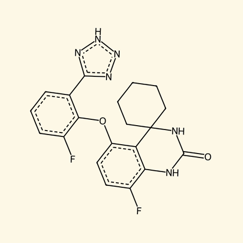 O=C1Nc2c(F)ccc(Oc3c(F)cccc3-c3nn[nH]n3)c2C2(CCCCC2)N1